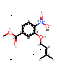 COC(=O)c1ccc([N+](=O)[O-])c(OCC=C(C)C)c1